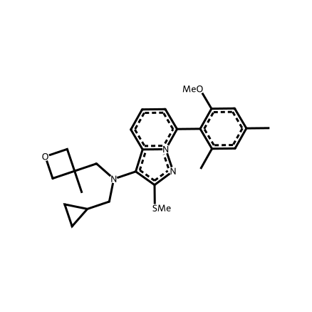 COc1cc(C)cc(C)c1-c1cccc2c(N(CC3CC3)CC3(C)COC3)c(SC)nn12